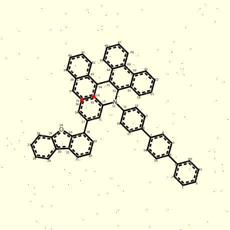 c1ccc(-c2ccc(-c3ccc(N(c4cccc(-c5cccc6c5oc5ccccc56)c4)c4c(-c5cccc6ccccc56)c5ccccc5c5ccccc45)cc3)cc2)cc1